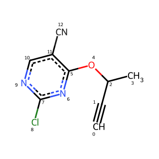 C#CC(C)Oc1nc(Cl)ncc1C#N